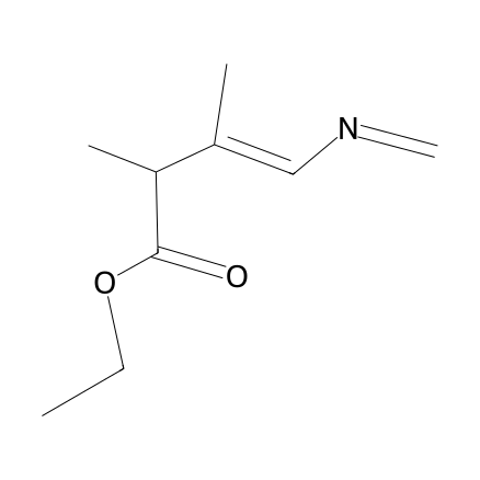 C=N/C=C(\C)C(C)C(=O)OCC